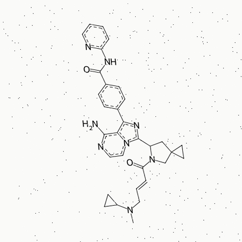 CN(CC=CC(=O)N1CC2(CC2)CC1c1nc(-c2ccc(C(=O)Nc3ccccn3)cc2)c2c(N)nccn12)C1CC1